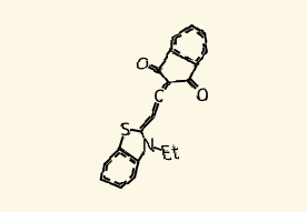 CCN1C(=C=C=C2C(=O)c3ccccc3C2=O)Sc2ccccc21